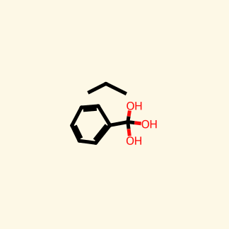 CCC.OC(O)(O)c1ccccc1